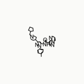 Cc1ccc(-n2nc(C3CCN(CC4CCCC4)CC3)cc2NC(=O)c2cnn3cccnc23)cc1